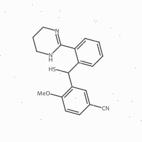 COc1ccc(C#N)cc1C(S)c1ccccc1C1=NCCCN1